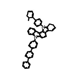 CC1CC=CC=C1c1ccc(-n2c3c(c4ccc5c(c6ccccc6n5-c5ccc(-c6ccc(-c7ccccc7)cc6)cc5)c42)C=CCC3)cc1